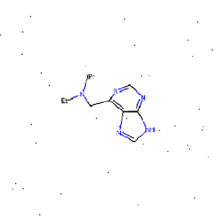 CCN(Cc1ncnc2[nH]cnc12)C(C)C